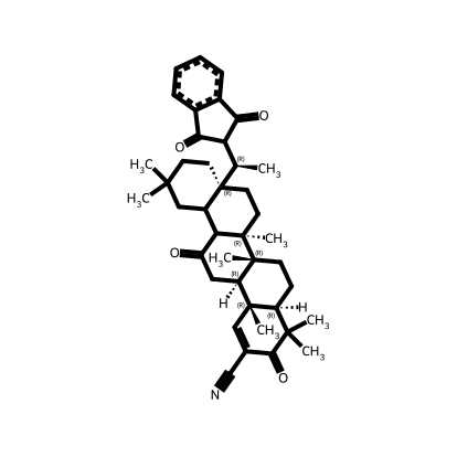 C[C@H](C1C(=O)c2ccccc2C1=O)[C@]12CCC(C)(C)CC1C1C(=O)C[C@@H]3[C@@]4(C)C=C(C#N)C(=O)C(C)(C)[C@@H]4CC[C@@]3(C)[C@]1(C)CC2